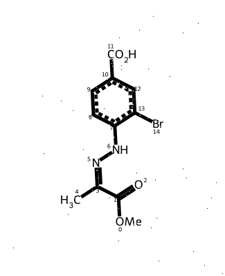 COC(=O)C(C)=NNc1ccc(C(=O)O)cc1Br